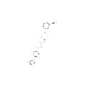 N#Cc1cc([C@@H]2CN3CCN(C(=O)C4CCc5nc(-n6cnnn6)ncc54)C[C@H]3CO2)ccc1F